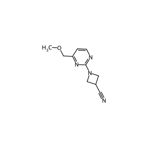 COCc1ccnc(N2CC(C#N)C2)n1